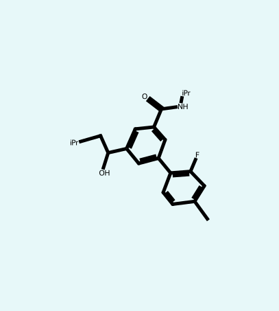 Cc1ccc(-c2cc(C(=O)NC(C)C)cc(C(O)CC(C)C)c2)c(F)c1